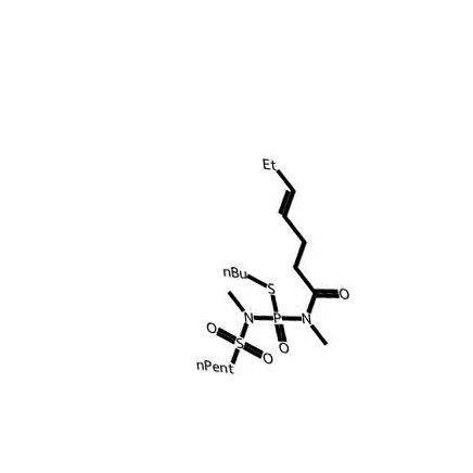 CCC=CCCC(=O)N(C)P(=O)(SCCCC)N(C)S(=O)(=O)CCCCC